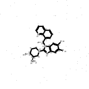 C[C@H](c1cccc2cccnc12)n1c(N2CC[C@@H](F)[C@H](N)C2)nc2cc(F)c(F)cc21